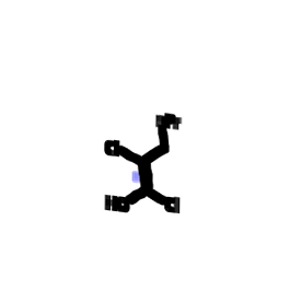 CCCC/C(Cl)=C(/O)Cl